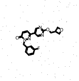 O=c1ccc(-c2cnc(OCC3COC3)nc2)nn1Cc1cccc(F)c1